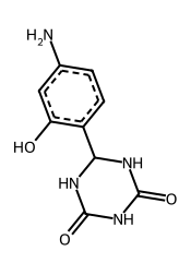 Nc1ccc(C2NC(=O)NC(=O)N2)c(O)c1